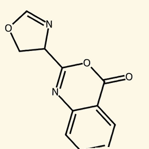 O=c1oc(C2COC=N2)nc2ccccc12